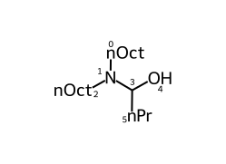 CCCCCCCCN(CCCCCCCC)C(O)CCC